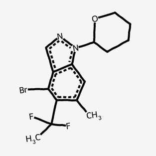 Cc1cc2c(cnn2C2CCCCO2)c(Br)c1C(C)(F)F